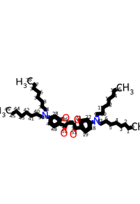 CCCCCCCCN(CCCCCCCC)c1ccc2c(c1)OC(=C1Oc3cc(N(CCCCCCCC)CCCCCCCC)ccc3C1=O)C2=O